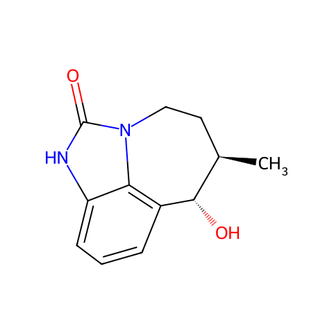 C[C@@H]1CCn2c(=O)[nH]c3cccc(c32)[C@H]1O